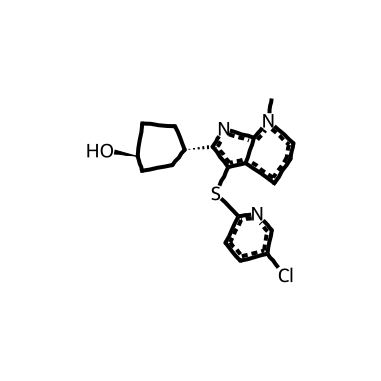 Cn1cccc2c(Sc3ccc(Cl)cn3)c([C@H]3CC[C@H](O)CC3)nc1-2